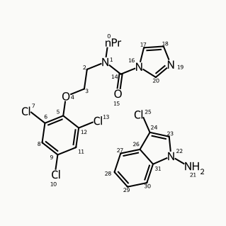 CCCN(CCOc1c(Cl)cc(Cl)cc1Cl)C(=O)n1ccnc1.Nn1cc(Cl)c2ccccc21